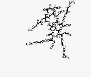 C=C=C=C=C=C=C=C(N=C=O)NC(=O)OCC(COCC(COC(=O)NCOC#N)(COC(=O)NCOC#N)OC(=O)NCOC#N)(COC(=O)NC(=C=C=C=C=C=C=C)N=C=O)OC(=O)NC(=C=C=C=C=C=C=C)N=C=O